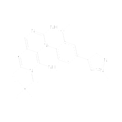 COc1cc(-c2cnn(C)c2)ccc1N1C(N)=NC=C2C=C(C)N(CC(C)(C)C)C(N)=C21